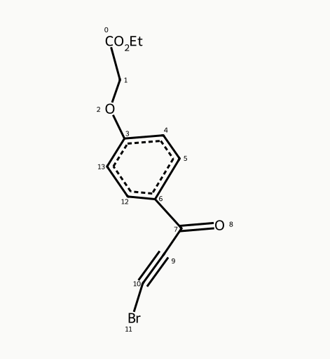 CCOC(=O)COc1ccc(C(=O)C#CBr)cc1